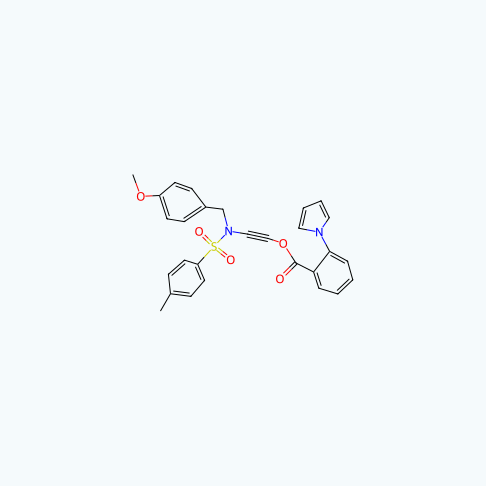 COc1ccc(CN(C#COC(=O)c2ccccc2-n2cccc2)S(=O)(=O)c2ccc(C)cc2)cc1